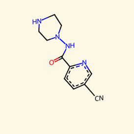 N#Cc1ccc(C(=O)NN2CCNCC2)nc1